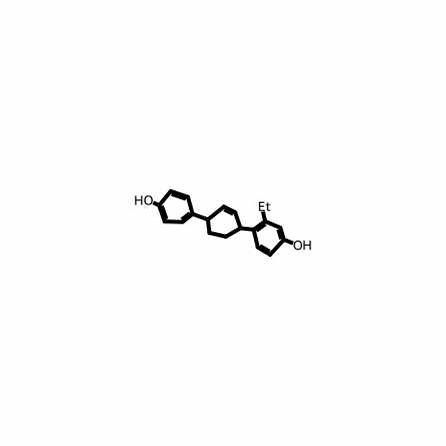 CCc1cc(O)ccc1C1C=CC(c2ccc(O)cc2)CC1